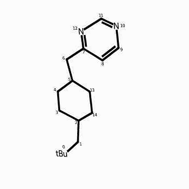 CC(C)(C)CC1CCC(Cc2ccncn2)CC1